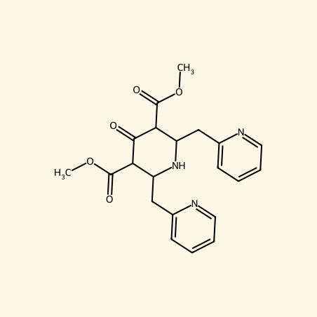 COC(=O)C1C(=O)C(C(=O)OC)C(Cc2ccccn2)NC1Cc1ccccn1